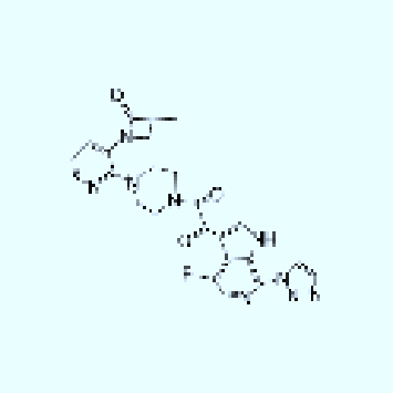 CC1(C)CN(c2cccnc2N2CCN(C(=O)C(=O)c3c[nH]c4c(-n5ccnn5)ncc(F)c34)CC2)C1=O